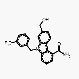 NC(=O)c1cccc2c1c1[c]cc(CO)cc1n2Cc1cccc(C(F)(F)F)c1